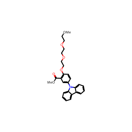 COCCOCCOCCOc1ccc(-n2c3ccccc3c3ccccc32)cc1C(=O)OC